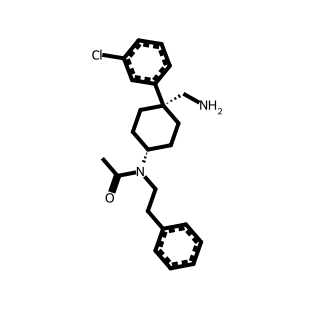 CC(=O)N(CCc1ccccc1)[C@H]1CC[C@](CN)(c2cccc(Cl)c2)CC1